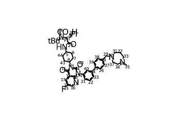 CC(C)[C@H](C(=O)NC1CCC(n2c(=O)c3cc(F)cnc3n(-c3cccc(-c4ccc(CN5CCCN(C)CC5)cc4)c3)c2=O)CC1)N(C(=O)O)C(C)(C)C